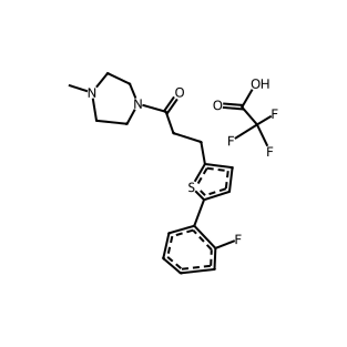 CN1CCN(C(=O)CCc2ccc(-c3ccccc3F)s2)CC1.O=C(O)C(F)(F)F